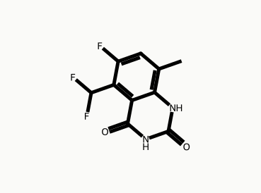 Cc1cc(F)c(C(F)F)c2c(=O)[nH]c(=O)[nH]c12